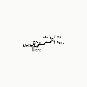 CCCCC[Si](CCCCC[Si](CCCCC)(OC)OC)(OC)OC